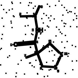 CC(C)NC(=O)C1(C)CSSC1